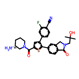 CC(C)(O)CN1Cc2cc(-c3sc(C(=O)N4CCC[C@@H](N)C4)cc3-c3ccc(C#N)c(F)c3)ccc2C1=O